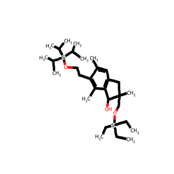 CC[Si](CC)(CC)OCC1(C)Cc2cc(C)c(CCO[Si](C(C)C)(C(C)C)C(C)C)c(C)c2C1O